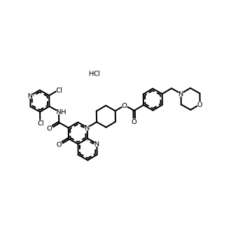 Cl.O=C(OC1CCC(n2cc(C(=O)Nc3c(Cl)cncc3Cl)c(=O)c3cccnc32)CC1)c1ccc(CN2CCOCC2)cc1